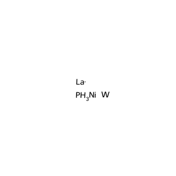 P.[La].[Ni].[W]